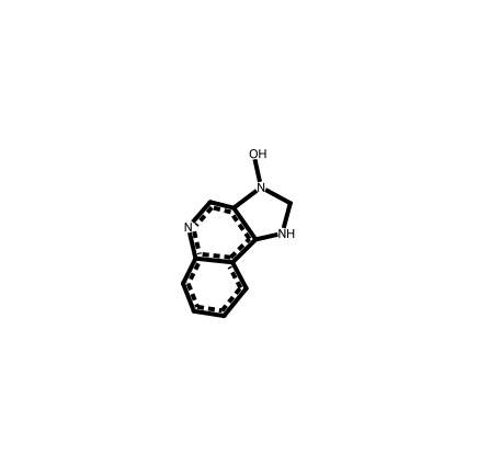 ON1CNc2c1cnc1ccccc21